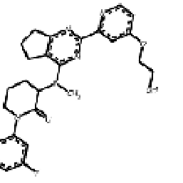 CN(c1nc(-c2cc(OCCO)ccn2)nc2c1CCC2)C1CCCN(c2cccc(F)c2)C1=O